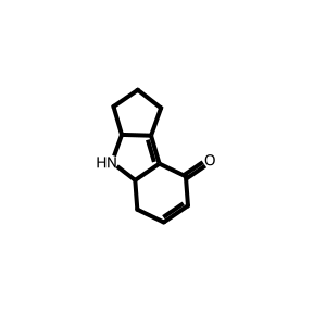 O=C1C=CCC2NC3CCCC3=C12